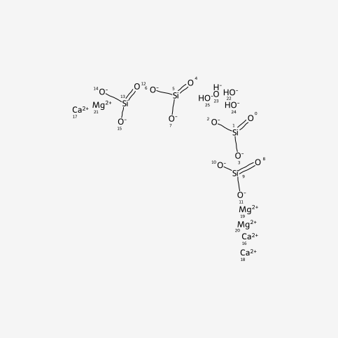 O=[Si]([O-])[O-].O=[Si]([O-])[O-].O=[Si]([O-])[O-].O=[Si]([O-])[O-].[Ca+2].[Ca+2].[Ca+2].[Mg+2].[Mg+2].[Mg+2].[OH-].[OH-].[OH-].[OH-]